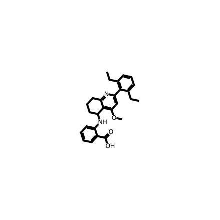 CCc1cccc(CC)c1-c1cc(OC)c2c(n1)CCCC2Nc1ccccc1C(=O)O